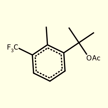 CC(=O)OC(C)(C)c1cccc(C(F)(F)F)c1C